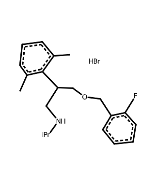 Br.Cc1cccc(C)c1C(CNC(C)C)COCc1ccccc1F